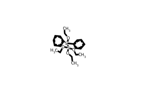 CCO[Si](OCC)(OCC)[Si](OCC)(c1ccccc1)c1ccccc1